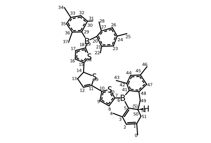 CC1=CC(C)=C2B(c3ccc(C4=CCC(c5ccc(B(c6c(C)cc(C)cc6C)c6c(C)cc(C)cc6C)s5)S4)s3)c3c(C)cc(C)cc3C[C@@H]2C1